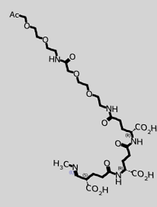 C/N=C/[C@H](CCC(=O)N[C@H](CCC(=O)N[C@H](CCC(=O)NCCOCCOCC(=O)NCCOCCOCC(C)=O)C(=O)O)C(=O)O)C(=O)O